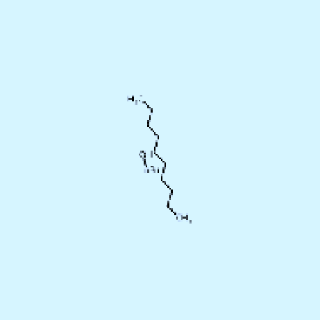 CCCCCCCCCC.CCCCO